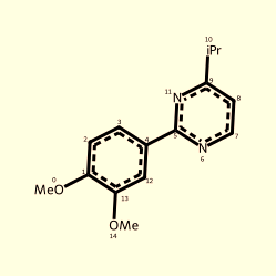 COc1ccc(-c2nccc(C(C)C)n2)cc1OC